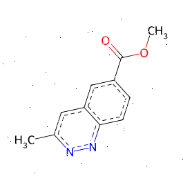 COC(=O)c1ccc2nnc(C)cc2c1